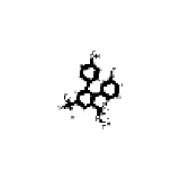 N/C(=N\O)c1cc(C(F)(F)F)cc(-c2ccc(O)cc2)c1-c1cc(F)ccc1Cl